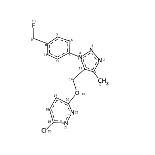 Cc1nnn(-c2ccc(CF)cc2)c1COc1ccc(Cl)nn1